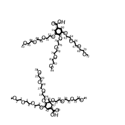 COCCOCCOCCOC1=C(OCCOCCOCCOC)C(C)(OCCOCCOCCOC)CC(C(=O)O)=C1.COCCOCCOCCOc1cc(C(=O)O)cc(OCCOCCOCCOC)c1OCCOCCOCCOC